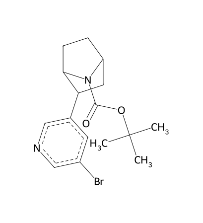 CC(C)(C)OC(=O)N1C2CCC1C(c1cncc(Br)c1)C2